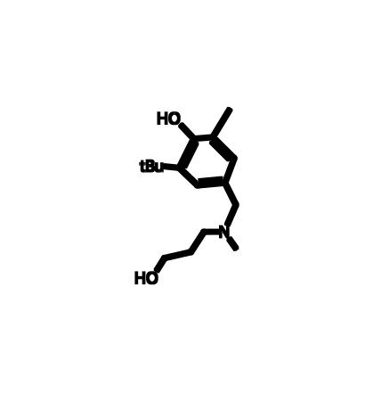 Cc1cc(CN(C)CCCO)cc(C(C)(C)C)c1O